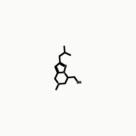 CC(C)Cc1cc2n(n1)C(CO)CN(C)C2